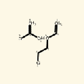 C=C(Cl)OC(C)=O.C=COCCCl